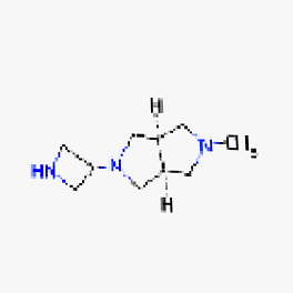 CN1C[C@@H]2CN(C3CNC3)C[C@@H]2C1